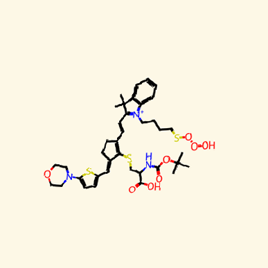 CC(C)(C)OC(=O)NC(CSC1=C(/C=C/C2=[N+](CCCCSOOO)c3ccccc3C2(C)C)CC/C1=C\c1ccc(N2CCOCC2)s1)C(=O)O